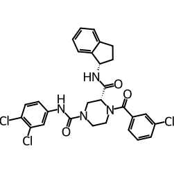 O=C(N[C@H]1CCc2ccccc21)[C@H]1CN(C(=O)Nc2ccc(Cl)c(Cl)c2)CCN1C(=O)c1cccc(Cl)c1